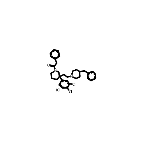 Cl.O=C(Cc1ccccc1)N1CCCC(CCN2CCC(Cc3ccccc3)CC2)(c2ccc(Cl)c(Cl)c2)C1